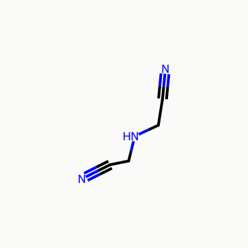 N#CCNCC#N